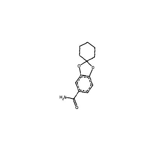 NC(=O)c1ccc2c(c1)OC1(CCCCC1)O2